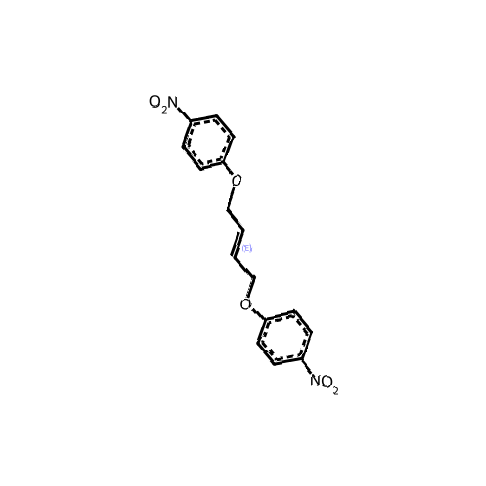 O=[N+]([O-])c1ccc(OC/C=C/COc2ccc([N+](=O)[O-])cc2)cc1